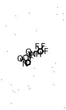 O=C(NCc1ccc(F)c(F)c1F)[C@]1(F)CC[C@]2(CO2)c2ncccc21